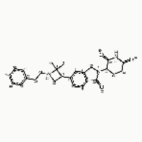 CC1(C)C(c2ccc3c(c2)CN(C2CCC(=O)NC2=O)C3=O)CN1CCc1ccccc1